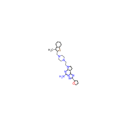 Cc1c(CN2CCN(CCn3ccc4c3nc(N)n3nc(-c5ccco5)nc43)CC2)sc2ccccc12